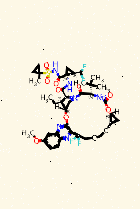 CC[C@@H]1[C@@H]2CN(C(=O)[C@H](C(C)(C)C)NC(=O)O[C@@H]3CC3CCCCC(F)(F)c3nc4ccc(OC)cc4nc3O2)[C@@H]1C(=O)N[C@]1(C(=O)NS(=O)(=O)C2(C)CC2)C[C@H]1C(F)F